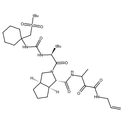 C=CCNC(=O)C(=O)C(C)NC(=O)[C@@H]1[C@H]2CCC[C@H]2CN1C(=O)[C@@H](NC(=O)NC1(CS(=O)(=O)C(C)(C)C)CCCCC1)C(C)(C)C